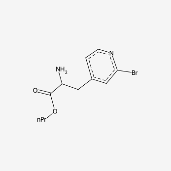 CCCOC(=O)C(N)Cc1ccnc(Br)c1